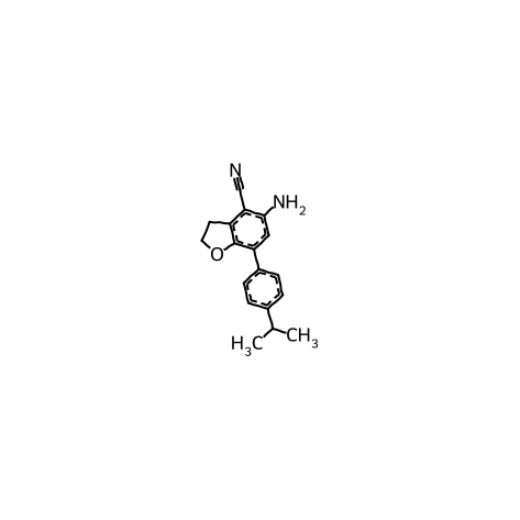 CC(C)c1ccc(-c2cc(N)c(C#N)c3c2OCC3)cc1